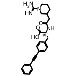 N=C(N)N1CCCC(CC(=O)N[C@H](Cc2ccc(C#Cc3ccccc3)cc2)C(=O)O)C1